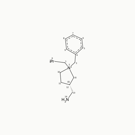 CC(C)C[N+]1(Cc2ccccc2)CC[C@@H](CN)C1